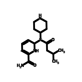 CC(C)CC(=O)N(C1CCNCC1)C1C=C[C]=C(C(N)=O)N1